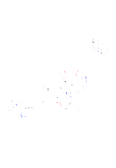 CCN(CC)CCCC(C)NC(=O)c1cn2c3c(c(C4CCC(c5cnccn5)C4)c(F)cc3c1=O)Oc1ccccc1-2